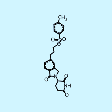 Cc1ccc(S(=O)(=O)OCCCc2ccc3c(c2)CN(C2CCC(=O)NC2=O)C3=O)cc1